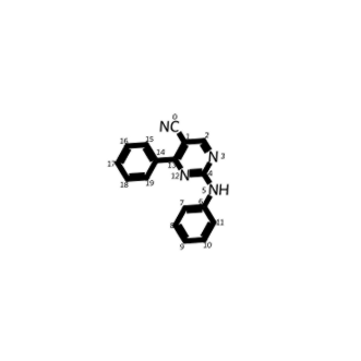 N#Cc1cnc(Nc2ccccc2)nc1-c1ccccc1